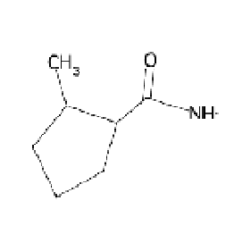 CC1CCCC1C([NH])=O